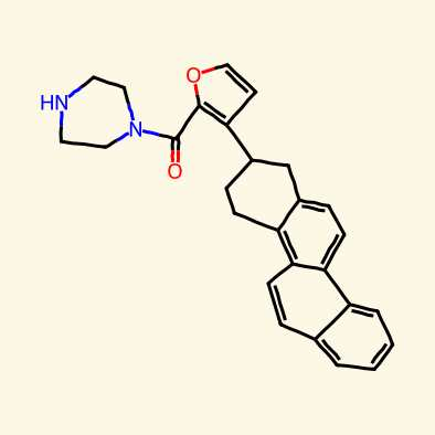 O=C(c1occc1C1CCc2c(ccc3c2ccc2ccccc23)C1)N1CCNCC1